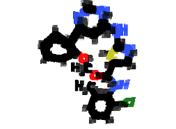 COc1ccccc1-c1cc(Nc2ncc(C(=O)Nc3c(C)cccc3Cl)s2)ncn1